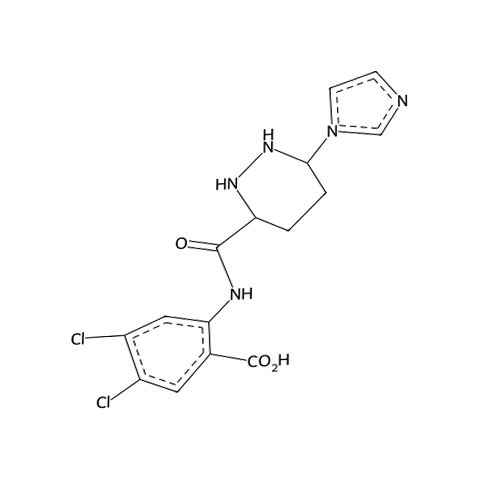 O=C(O)c1cc(Cl)c(Cl)cc1NC(=O)C1CCC(n2ccnc2)NN1